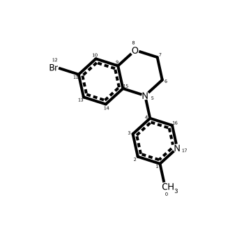 Cc1ccc(N2CCOc3cc(Br)ccc32)cn1